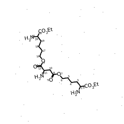 CCOC(=O)C(N)CCCCOC(=O)CC(N)C(=O)OCCCCC(N)C(=O)OCC